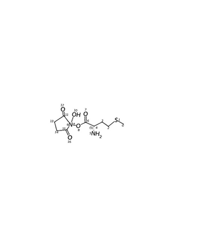 CSCC[C@H](N)C(=O)O[N+]1(O)C(=O)CCC1=O